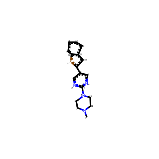 CN1CCN(c2ncc(-c3cc4ccccc4s3)cn2)CC1